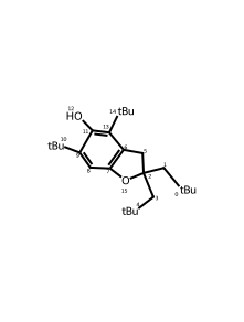 CC(C)(C)CC1(CC(C)(C)C)Cc2c(cc(C(C)(C)C)c(O)c2C(C)(C)C)O1